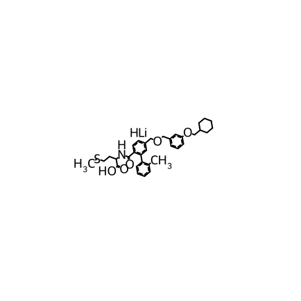 CSCCC(NC(=O)c1ccc(COCc2cccc(OCC3CCCCC3)c2)cc1-c1ccccc1C)C(=O)O.[LiH]